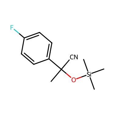 CC(C#N)(O[Si](C)(C)C)c1ccc(F)cc1